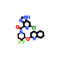 O=C(c1nc(Cl)cc2[nH]cnc12)N1CCC(F)(F)[C@@H](Oc2ccc3ccccc3n2)C1